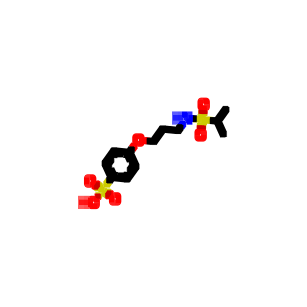 CC(C)S(=O)(=O)NCCCOc1ccc(S(=O)(=O)O)cc1